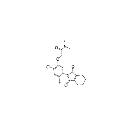 CN(C)C(=O)COc1cc(N2C(=O)C3=C(CCCC3)C2=O)c(F)cc1Cl